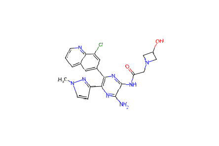 Cn1ccc(-c2nc(N)c(NC(=O)CN3CC(O)C3)nc2-c2cc(Cl)c3ncccc3c2)n1